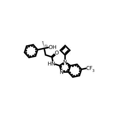 C[C@](O)(CC(=O)Nc1nc2ccc(C(F)(F)F)cc2n1C1=CC=C1)c1ccccc1